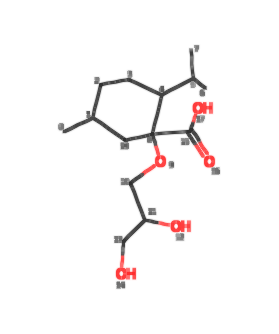 CC1CCC(C(C)C)C(OCC(O)CO)(C(=O)O)C1